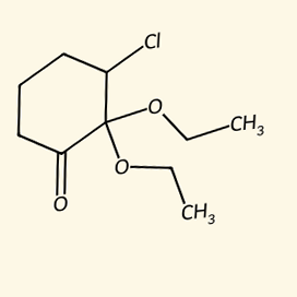 CCOC1(OCC)C(=O)CCCC1Cl